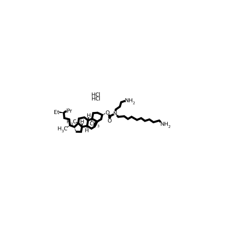 CC[C@H](CC[C@@H](C)[C@H]1CC[C@H]2[C@@H]3CC=C4C[C@@H](OC(=O)N(CCCN)CCCCCCCCCCN)CC[C@]4(C)[C@H]3CC[C@]12C)C(C)C.Cl.Cl